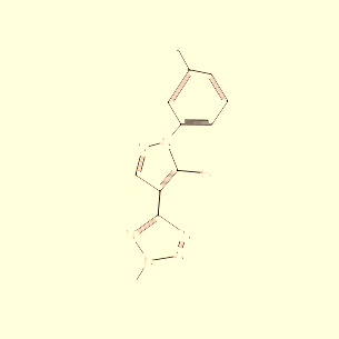 Cn1nnc(-c2cnn(-c3cccc(Cl)c3)c2Br)n1